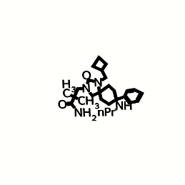 CCCNC1(c2ccccc2)CCC2(CC1)CN(CC(C)(C)C(N)=O)C(=O)N2CC1CCC1